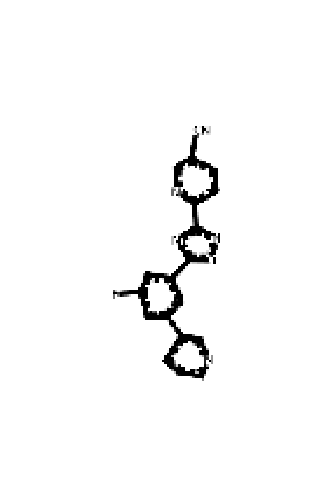 N#Cc1ccc(-c2noc(-c3cc(F)cc(-c4cccnc4)c3)n2)nc1